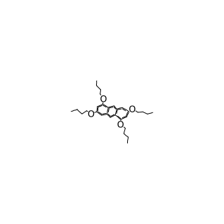 CCCCOc1cc(OCCCC)c2cc3cc(OCCCC)cc(OCCCC)c3cc2c1